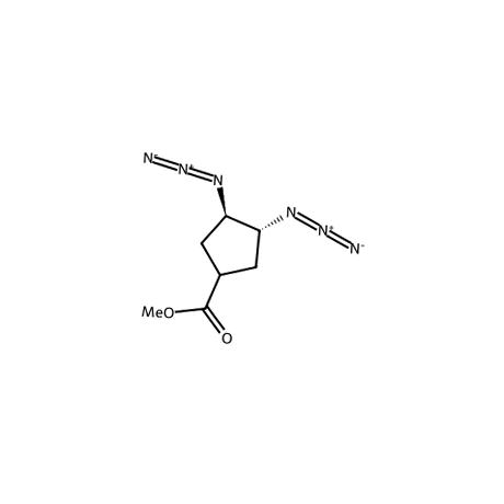 COC(=O)C1C[C@@H](N=[N+]=[N-])[C@H](N=[N+]=[N-])C1